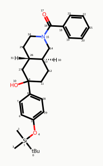 CC(C)(C)[Si](C)(C)Oc1ccc(C2(O)CC[C@@H]3CN(C(=O)c4ccccc4)CC[C@H]3C2)cc1